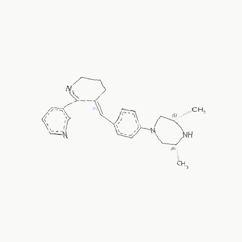 C[C@@H]1CN(c2ccc(/C=C3\CCCN=C3c3cccnc3)cc2)C[C@H](C)N1